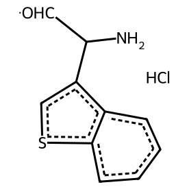 Cl.NC([C]=O)c1csc2ccccc12